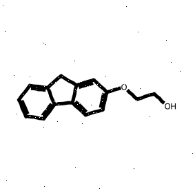 OCCOc1ccc2c(c1)Cc1ccccc1-2